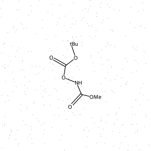 COC(=O)NOC(=O)OC(C)(C)C